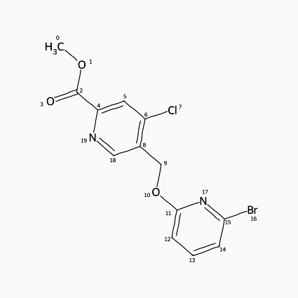 COC(=O)c1cc(Cl)c(COc2cccc(Br)n2)cn1